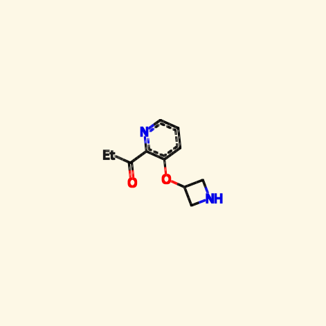 CCC(=O)c1ncccc1OC1CNC1